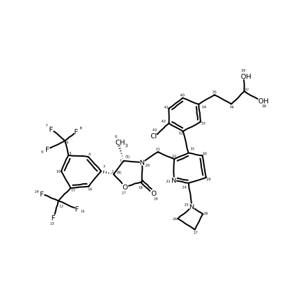 C[C@H]1[C@@H](c2cc(C(F)(F)F)cc(C(F)(F)F)c2)OC(=O)N1Cc1nc(N2CCC2)ccc1-c1cc(CCC(O)O)ccc1Cl